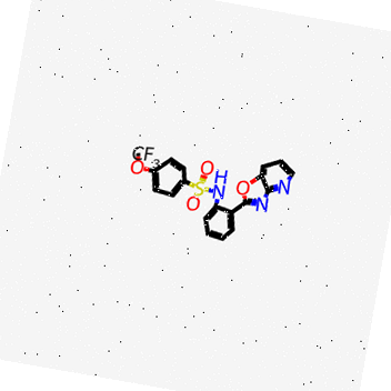 O=S(=O)(Nc1ccccc1-c1nc2ncccc2o1)c1ccc(OC(F)(F)F)cc1